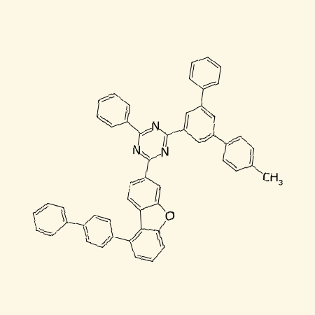 Cc1ccc(-c2cc(-c3ccccc3)cc(-c3nc(-c4ccccc4)nc(-c4ccc5c(c4)oc4cccc(-c6ccc(-c7ccccc7)cc6)c45)n3)c2)cc1